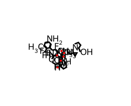 Cc1cc(N)cc(-c2nc3c4c(nc(OCC5(CN6CCCC6CO)CC5)nc4c2F)N2C[C@H]4CC[C@@H]([C@H]2CCO3)N4C(=O)OC(C)(C)C)c1C(F)(F)F